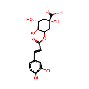 O=C(/C=C/c1ccc(O)c(O)c1)OC1C[C@@](O)(C(=O)O)C[C@@H](O)[C@@H]1O